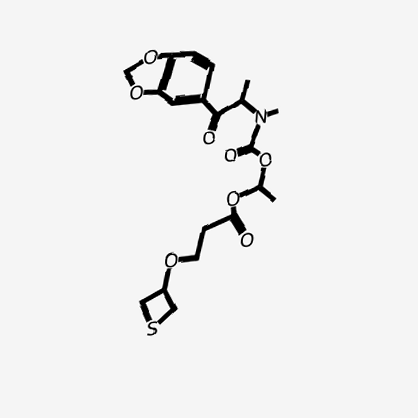 CC(OC(=O)CCOC1CSC1)OC(=O)N(C)C(C)C(=O)c1ccc2c(c1)OCO2